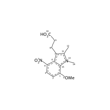 COc1ccc([N+](=O)[O-])c2c(CCC(=O)O)c(C)n(C)c12